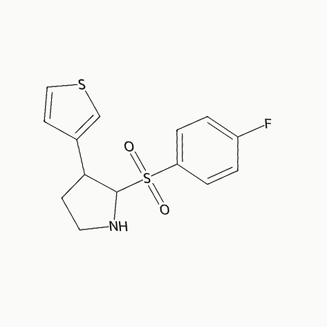 O=S(=O)(c1ccc(F)cc1)C1NCCC1c1ccsc1